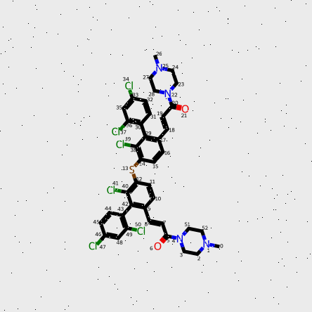 CN1CCN(C(=O)/C=C/c2ccc(Sc3ccc(/C=C/C(=O)N4CCN(C)CC4)c(-c4ccc(Cl)cc4Cl)c3Cl)c(Cl)c2-c2ccc(Cl)cc2Cl)CC1